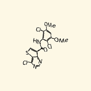 COc1cc(OC)c(Cl)c(NC(=O)c2csc3c(Cl)ncnc23)c1Cl